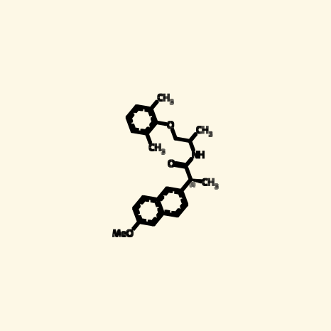 COc1ccc2cc([C@H](C)C(=O)NC(C)COc3c(C)cccc3C)ccc2c1